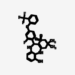 CC1(C)CC2=C(C(c3ccc(Oc4ccccc4C(F)(F)F)cc3F)Nc3cccc(O)c3N2)S(=O)(=O)C1